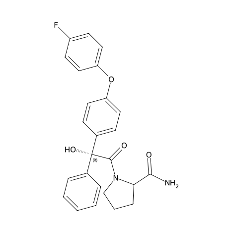 NC(=O)C1CCCN1C(=O)[C@@](O)(c1ccccc1)c1ccc(Oc2ccc(F)cc2)cc1